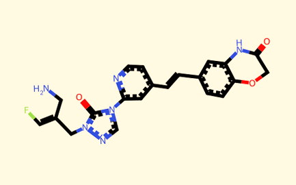 NC/C(=C\F)Cn1ncn(-c2cc(/C=C/c3ccc4c(c3)NC(=O)CO4)ccn2)c1=O